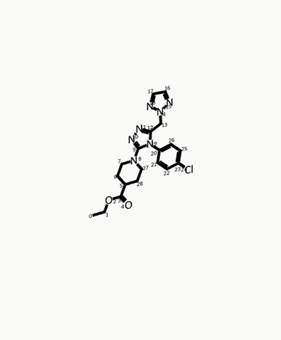 CCOC(=O)C1CCN(c2nnc(Cn3nccn3)n2-c2ccc(Cl)cc2)CC1